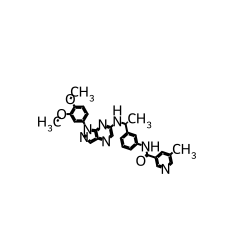 COc1ccc(-n2ncc3ncc(N[C@@H](C)c4cccc(NC(=O)c5cncc(C)c5)c4)nc32)cc1OC